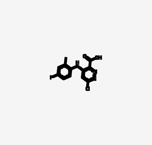 Cc1cc(F)ccc1Nc1cc(Cl)nnc1C(=O)O